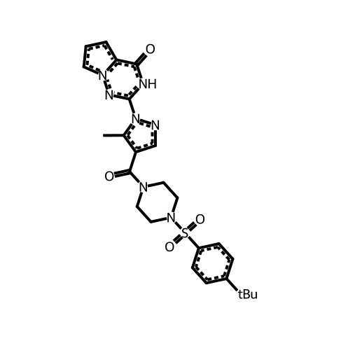 Cc1c(C(=O)N2CCN(S(=O)(=O)c3ccc(C(C)(C)C)cc3)CC2)cnn1-c1nn2cccc2c(=O)[nH]1